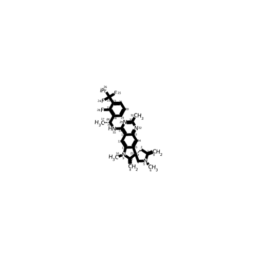 C=C1C[C@]2(CN1C)C(=C)N(C)c1cc3c(N[C@H](C)c4cccc(C(F)(F)C(C)C)c4F)nc(C)nc3cc12